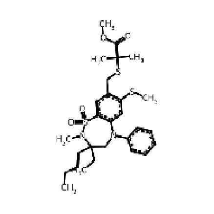 CCCCC1(CC)CN(c2ccccc2)c2cc(SC)c(CSC(C)(C)C(=O)OC)cc2S(=O)(=O)N1C